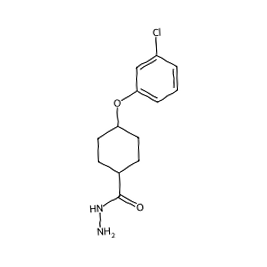 NNC(=O)C1CCC(Oc2cccc(Cl)c2)CC1